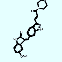 COc1ccc2c(c1)C(=Cc1ccc3c(/C=C/C(=O)N4CCN(C)CC4)n[nH]c3c1)C(=O)N2